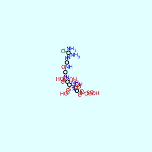 Nc1cc(N)c(/N=N/c2ccc(NC(=O)c3ccc(/N=N/c4c(S(=O)(=O)O)cc5cc(SOOO)c(/N=N/c6ccc(S(=O)(=O)CCOSOOO)cc6S(=O)(=O)O)c(N)c5c4O)cc3)cc2)cc1Cl